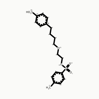 Cc1ccc(S(=O)(=O)OCCOCCCCc2ccc(S(=O)(=O)O)cc2)cc1